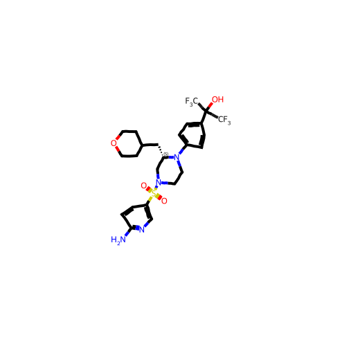 Nc1ccc(S(=O)(=O)N2CCN(c3ccc(C(O)(C(F)(F)F)C(F)(F)F)cc3)[C@@H](CC3CCOCC3)C2)cn1